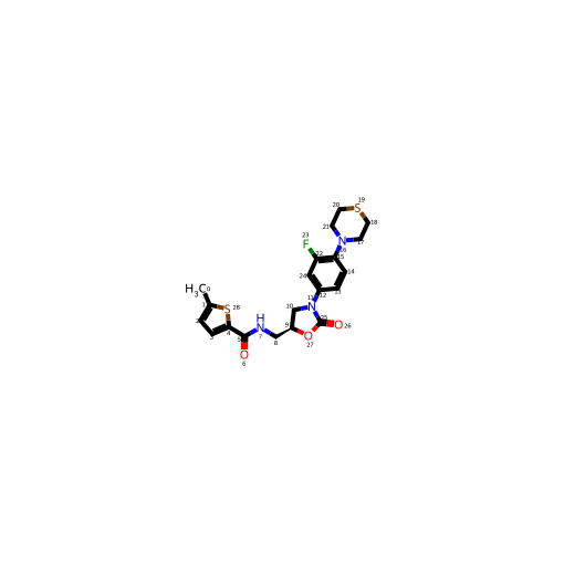 Cc1ccc(C(=O)NC[C@H]2CN(c3ccc(N4CCSCC4)c(F)c3)C(=O)O2)s1